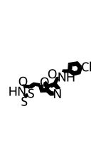 O=C1NC(=S)S/C1=C\c1cc2cncc(C(=O)NCc3ccc(Cl)cc3)c2o1